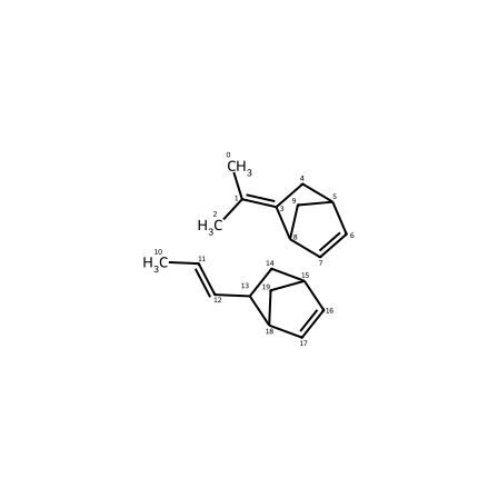 CC(C)=C1CC2C=CC1C2.CC=CC1CC2C=CC1C2